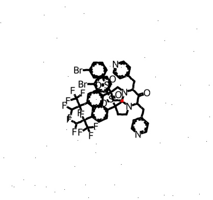 O=C(C(Cc1ccncc1)N1CCC(c2ccc(C(F)(C(F)F)C(F)(F)F)cc2)(S(=O)(=O)c2cccc(Br)c2)C1)C(Cc1ccncc1)N1CCC(c2ccc(C(F)(C(F)F)C(F)(F)F)cc2)(S(=O)(=O)c2cccc(Br)c2)C1